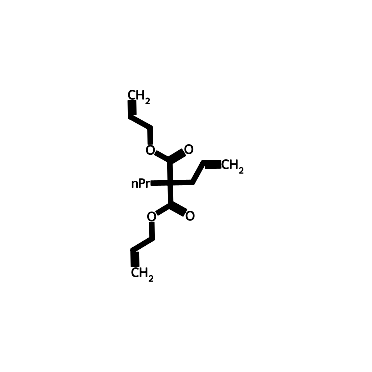 C=CCOC(=O)C(CC=C)(CCC)C(=O)OCC=C